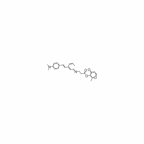 C\C=C/C(/C=C/c1ccc(N(C)C)cc1)=C\C=N\CCC(=O)Oc1c(C)occc1=O